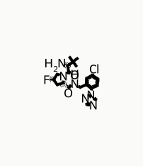 CC(C)(C)[C@@H](N)C(=O)N1C[C@H](F)C[C@H]1C(=O)NCc1cc(Cl)ccc1-n1cncn1